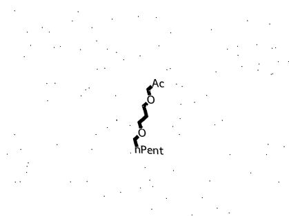 CCCCCCOCCCOCC(C)=O